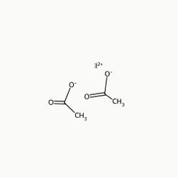 CC(=O)[O-].CC(=O)[O-].[I+2]